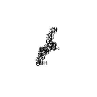 C=C(C)[C@@H]1CC[C@]2(CC(=O)N3CCN(Cc4ccncc4)CC3)CC[C@]3(C)[C@H](CC[C@@H]4[C@@]5(C)CC[C@H](OC(=O)CC(C)(C)C(=O)O)C(C)(C)[C@@H]5CC[C@]43C)[C@@H]12